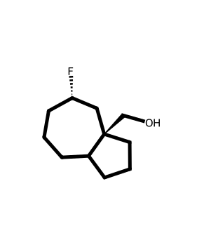 OC[C@@]12CCCC1CCC[C@H](F)C2